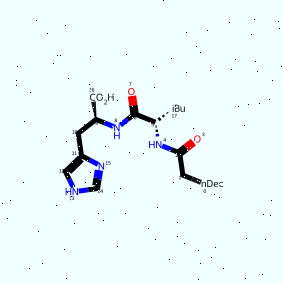 CCCCCCCCCCCC(=O)N[C@H](C(=O)N[C@@H](Cc1c[nH]cn1)C(=O)O)[C@@H](C)CC